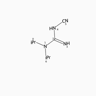 CC(C)N(C(=N)NC#N)C(C)C